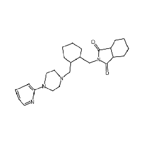 O=C1C2CCCCC2C(=O)N1CC1CCCCC1CN1CCN(c2ccccn2)CC1